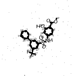 COC(=O)c1ccc(NS(=O)(=O)c2cc(-c3ccccc3)cc(C(F)(F)F)c2)cc1O